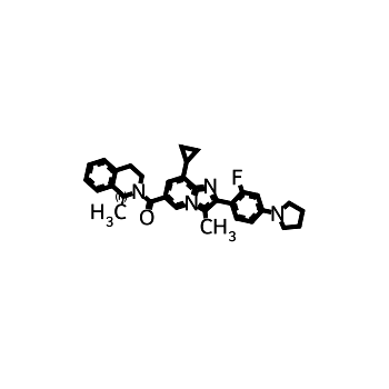 Cc1c(-c2ccc(N3CCCC3)cc2F)nc2c(C3CC3)cc(C(=O)N3CCc4ccccc4[C@H]3C)cn12